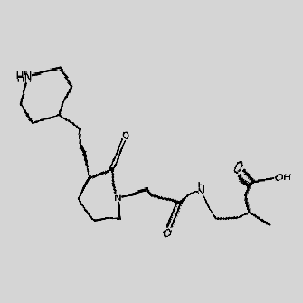 CC(CNC(=O)CN1CCC[C@@H](CCC2CCNCC2)C1=O)C(=O)O